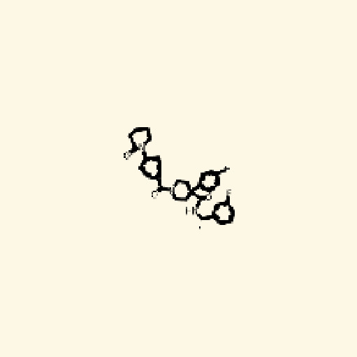 C[C@H](NC(=O)C1(c2ccc(F)cc2)CCN(C(=O)c2ccc(N3CCCCC3=O)cc2)CC1)c1cccc(F)c1